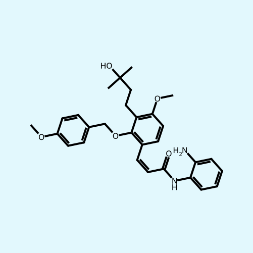 COc1ccc(COc2c(/C=C\C(=O)Nc3ccccc3N)ccc(OC)c2CCC(C)(C)O)cc1